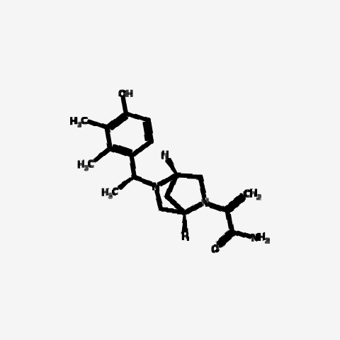 C=C(C(N)=O)N1C[C@@H]2C[C@H]1CN2[C@@H](C)c1ccc(O)c(C)c1C